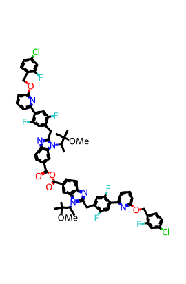 COC(C)(C)C(C)n1c(Cc2cc(F)c(-c3cccc(OCc4ccc(Cl)cc4F)n3)cc2F)nc2ccc(C(=O)OC(=O)c3ccc4nc(Cc5cc(F)c(-c6cccc(OCc7ccc(Cl)cc7F)n6)cc5F)n(C(C)C(C)(C)OC)c4c3)cc21